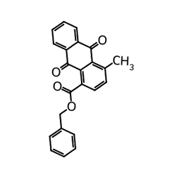 Cc1ccc(C(=O)OCc2ccccc2)c2c1C(=O)c1ccccc1C2=O